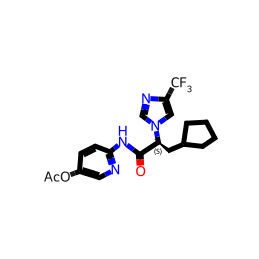 CC(=O)Oc1ccc(NC(=O)[C@H](CC2CCCC2)n2cnc(C(F)(F)F)c2)nc1